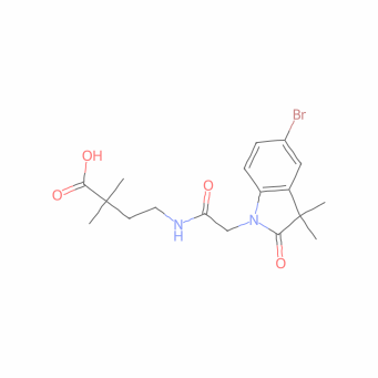 CC(C)(CCNC(=O)CN1C(=O)C(C)(C)c2cc(Br)ccc21)C(=O)O